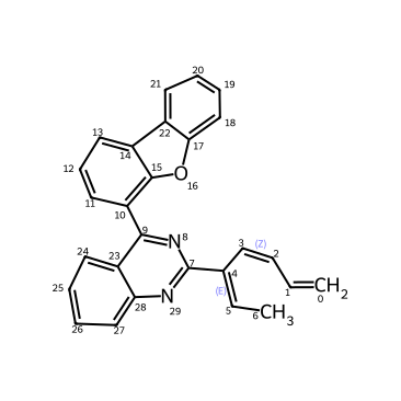 C=C/C=C\C(=C/C)c1nc(-c2cccc3c2oc2ccccc23)c2ccccc2n1